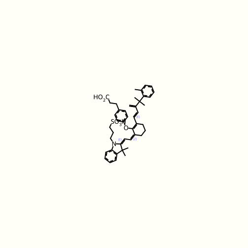 C=C(/C=C/C1=C(Oc2ccc(CCC(=O)O)cc2)C(=C\C=C2\N(CCCS(=O)(=O)O)c3ccccc3C2(C)C)/CCC1)C(C)(C)c1ccccc1C